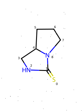 S=C1NCC2CCCN12